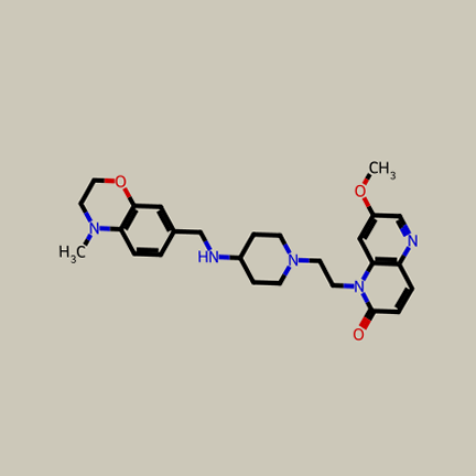 COc1cnc2ccc(=O)n(CCN3CCC(NCc4ccc5c(c4)OCCN5C)CC3)c2c1